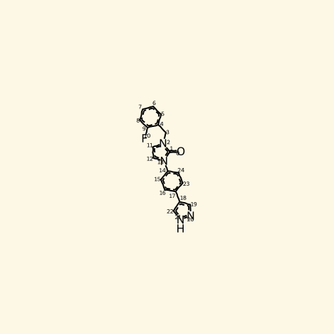 O=c1n(Cc2ccccc2F)ccn1-c1ccc(-c2cn[nH]c2)cc1